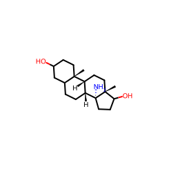 C[C@]12CCC(O)CC1CC[C@@H]1[C@H]2CC[C@]2(C)C(O)CC[C@@]12N